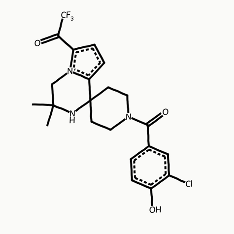 CC1(C)Cn2c(C(=O)C(F)(F)F)ccc2C2(CCN(C(=O)c3ccc(O)c(Cl)c3)CC2)N1